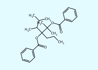 CCCC(OC(=O)c1ccccc1)(C(C)C(C)C)C(C)(C)OC(=O)c1ccccc1